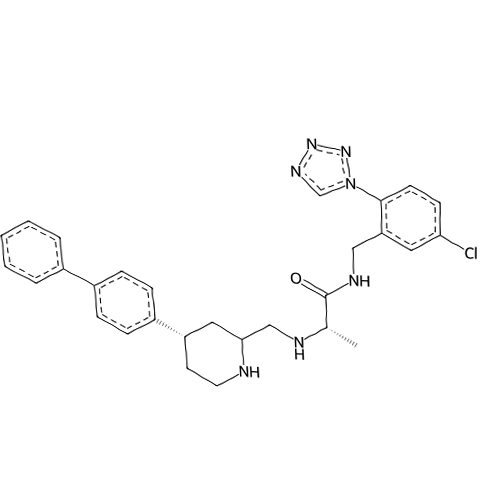 C[C@H](NCC1C[C@@H](c2ccc(-c3ccccc3)cc2)CCN1)C(=O)NCc1cc(Cl)ccc1-n1cnnn1